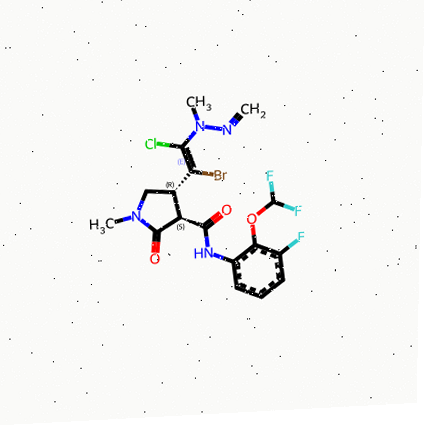 C=NN(C)/C(Cl)=C(\Br)[C@H]1CN(C)C(=O)[C@@H]1C(=O)Nc1cccc(F)c1OC(F)F